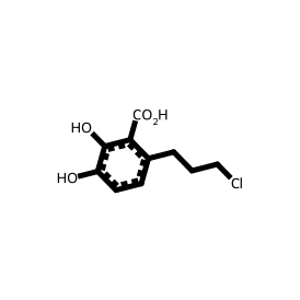 O=C(O)c1c(CCCCl)ccc(O)c1O